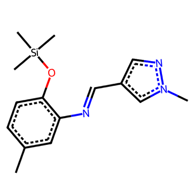 Cc1ccc(O[Si](C)(C)C)c(/N=C/c2cnn(C)c2)c1